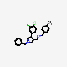 FC(F)(F)c1ccc(CNCC2CN(Cc3ccccc3)CC2c2ccc(Cl)c(Cl)c2)cc1